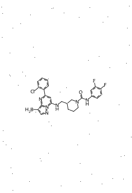 Bc1cnn2c(NCC3CCCN(C(=O)Nc4ccc(F)c(F)c4)C3)cc(-c3ccccc3Cl)nc12